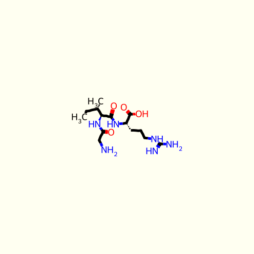 CC[C@H](C)[C@H](NC(=O)CN)C(=O)N[C@@H](CCCNC(=N)N)C(=O)O